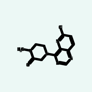 CN1CCN(c2ncnc3ccc(Cl)nc23)CC1=O